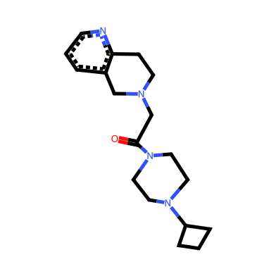 O=C(CN1CCc2ncccc2C1)N1CCN(C2CCC2)CC1